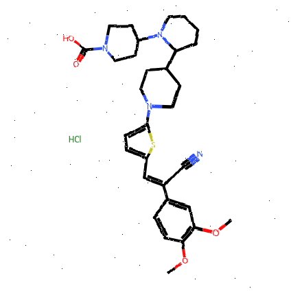 COc1ccc(/C(C#N)=C/c2ccc(N3CCC(C4CCCCN4C4CCN(C(=O)O)CC4)CC3)s2)cc1OC.Cl